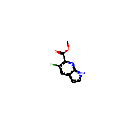 COC(=O)c1nc2[nH]ccc2cc1Br